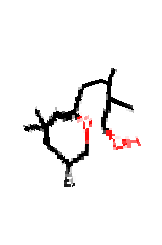 CCC1COC(CC(C)C(C)CO)=CC(C)(C)C1